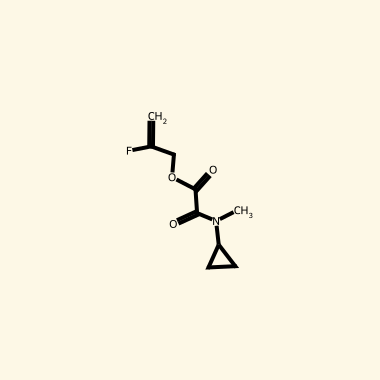 C=C(F)COC(=O)C(=O)N(C)C1CC1